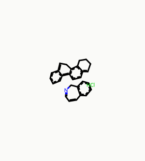 C1=Cc2ccccc2CN=C1.C1=c2ccc3c(c2CCC1)CC=c1ccccc1=3.Cl